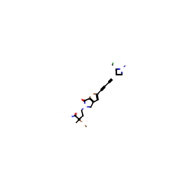 CN1C[C@H](C#CC#Cc2cc3c(s2)C(=O)N(CCC(C)(C(=O)NO)S(C)(=O)=O)C3)[C@H]1CF